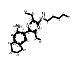 CCCCCNc1nc(CC)c(-c2cc3c(cc2N)CCCC3)nc1CC